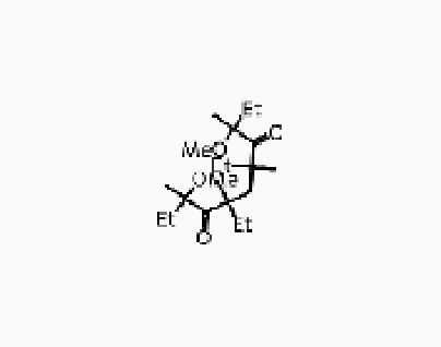 CCC(C)(CC(C)(CC)C(=O)C(C)(CC)OC)C(=O)C(C)(CC)OC